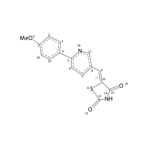 COc1ccc(-c2ccc(/C=C3\SC(=O)NC3=O)cn2)cc1